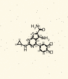 NC(=O)c1sc2nc(NC3CC3)nc(-c3ccc(Cl)c(Cl)c3)c2c1N